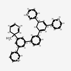 CC1(c2cc(-c3cccnc3)cc(-c3cccc(C4=CC(c5cccnc5)=CC(c5cccnc5)C4)c3)c2)C=NC=CC1